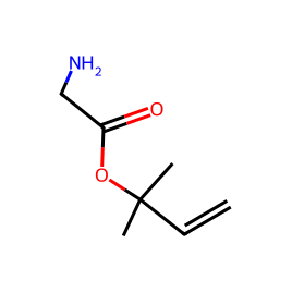 C=CC(C)(C)OC(=O)CN